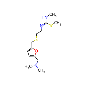 CN/C(=N/CCSCc1ccc(CN(C)C)o1)SC